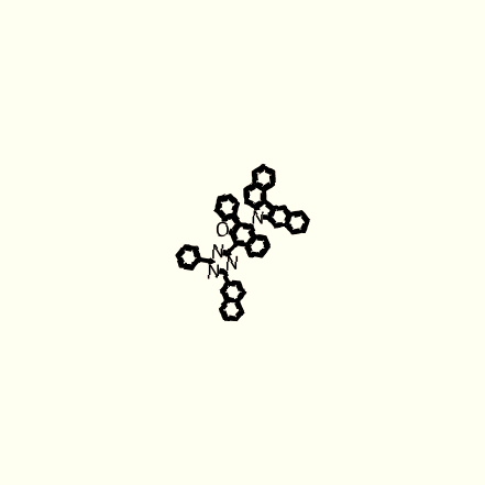 c1ccc(-c2nc(-c3ccc4ccccc4c3)nc(-c3c4ccccc4c(-n4c5cc6ccccc6cc5c5c6ccccc6ccc54)c4c3oc3ccccc34)n2)cc1